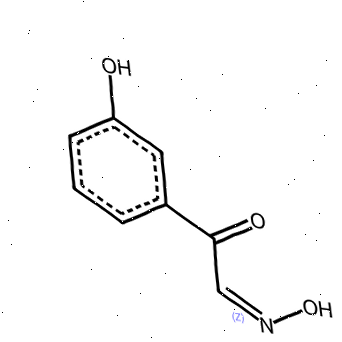 O=C(/C=N\O)c1cccc(O)c1